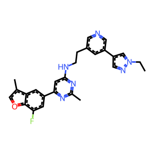 CCn1cc(-c2cncc(CCNc3cc(-c4cc(F)c5occ(C)c5c4)nc(C)n3)c2)cn1